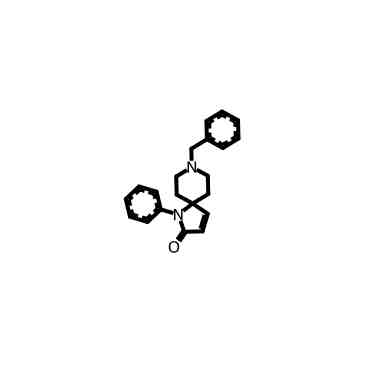 O=C1C=CC2(CCN(Cc3ccccc3)CC2)N1c1ccccc1